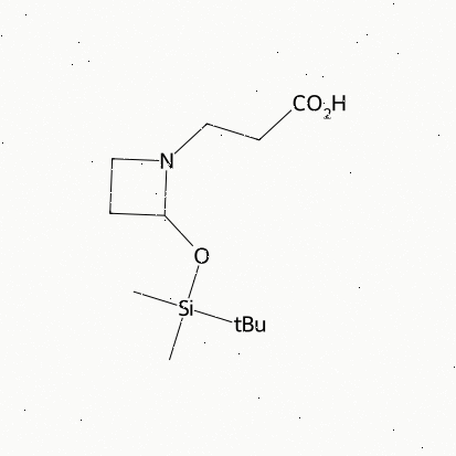 CC(C)(C)[Si](C)(C)OC1CCN1CCC(=O)O